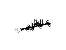 CC(=O)N(O)CCCCCNC(=O)C(CCCCCNC(=O)CCC(=O)N(O)CCCCCN)CC(=O)ONC=O